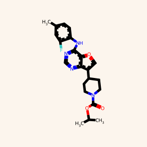 Cc1ccc(Nc2ncnc3c(C4CCN(C(=O)OC(C)C)CC4)coc23)c(F)c1